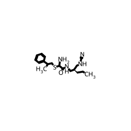 CCC[C@H](CNC#N)CNC(=O)C(N)SCC(C)c1ccccc1